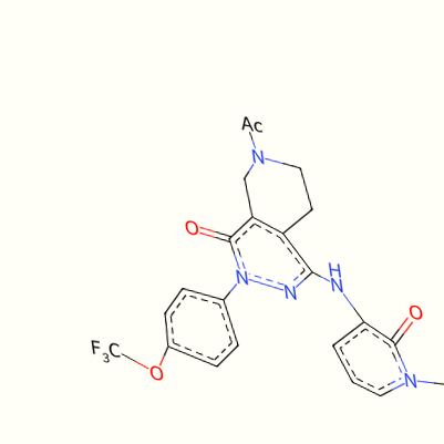 CC(=O)N1CCc2c(Nc3cccn(C)c3=O)nn(-c3ccc(OC(F)(F)F)cc3)c(=O)c2C1